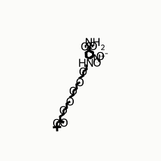 CC(C)(C)OC(=O)CCOCCOCCOCCOCCOCCNc1ccc(S(N)(=O)=O)cc1[N+](=O)[O-]